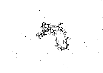 COc1cccc2c1C(=O)c1c(O)c3c(c(O)c1C2=O)C[C@@](O)(C(=O)NCCOCNC(=O)[C@H](C)NC(=O)[C@H](C)NC(=O)[C@H](C)NC(=O)COCNS(=O)(=O)N1CCC(C(=O)O)CC1)C[C@@H]3O[C@H]1C[C@H]2[C@H](O[C@@H]3[C@@H](OC)OCCN32)[C@H](C)O1